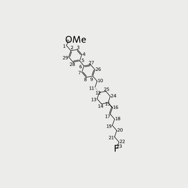 COCc1ccc(-c2ccc(CC[C@H]3CC[C@H](C=CCCCCCF)CC3)cc2)cc1